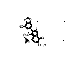 COc1c(-c2cc(C#N)c3c(c2)OCO3)c(F)cc2c(=O)c(C(=O)O)cn([C@@H]3CC3F)c12